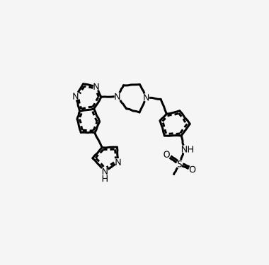 CS(=O)(=O)Nc1ccc(CN2CCN(c3ncnc4ccc(-c5cn[nH]c5)cc34)CC2)cc1